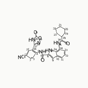 N#Cc1ccc(NC(=O)c2cc3cccc(NC(=O)C4CCCCC4)c3[nH]2)c(-c2noc(=O)[nH]2)c1